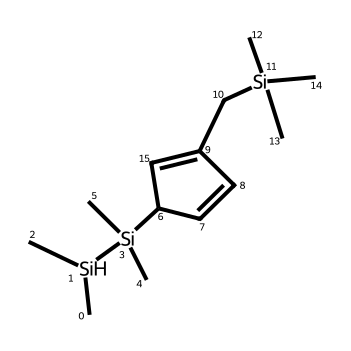 C[SiH](C)[Si](C)(C)C1C=CC(C[Si](C)(C)C)=C1